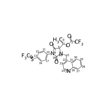 C[C@@H](OC(=O)C(F)(F)F)C1C(=O)N(c2ccc(SC(F)(F)F)cc2)C(=O)N1Cc1ccnc2ccccc12